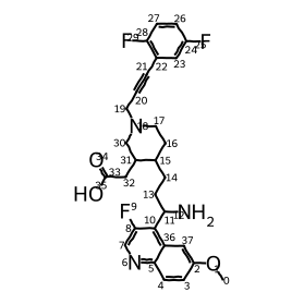 COc1ccc2ncc(F)c(C(N)CCC3CCN(CC#Cc4cc(F)ccc4F)CC3CC(=O)O)c2c1